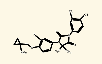 CNC1(COc2ccc(N3C(=S)N(c4ccc(C#N)c(C(F)(F)F)c4)C(=O)C3(C)C)cc2F)CC1